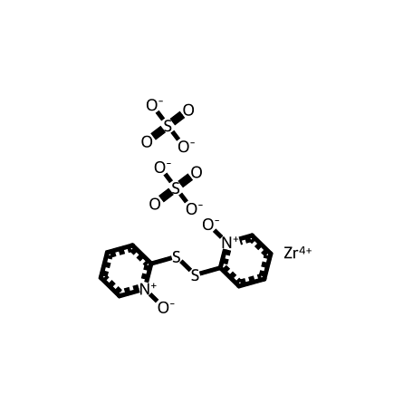 O=S(=O)([O-])[O-].O=S(=O)([O-])[O-].[O-][n+]1ccccc1SSc1cccc[n+]1[O-].[Zr+4]